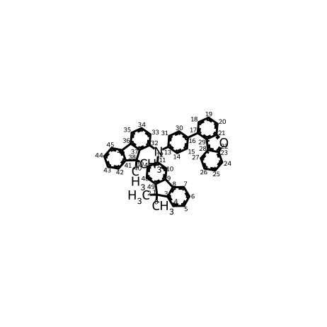 CC1(C)c2ccccc2-c2cc(N(c3ccc(-c4cccc5oc6ccccc6c45)cc3)c3cccc4c3C(C)(C)c3ccccc3-4)ccc21